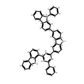 c1ccc(-c2nc(-c3ccc4sc5ccc(-c6ccc7c8ccccc8n(-c8ccccc8)c7c6)cc5c4c3)nc(-c3cccc4c3sc3ccccc34)n2)cc1